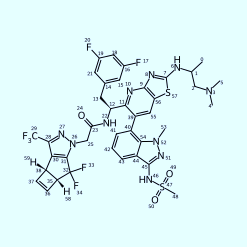 CC(CN(C)C)Nc1nc2nc([C@H](Cc3cc(F)cc(F)c3)NC(=O)Cn3nc(C(F)(F)F)c4c3C(F)(F)[C@@H]3C=C[C@H]43)c(-c3cccc4c(NS(C)(=O)=O)nn(C)c34)cc2s1